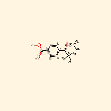 COC(=O)c1ccc(C(O[SiH](C)C)C(C)(C)C)cc1